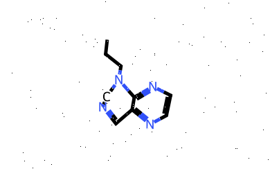 CCCN1CN=Cc2nccnc21